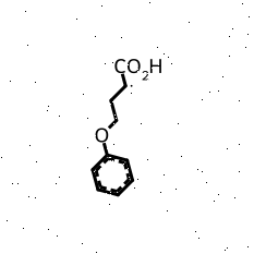 O=C(O)[CH]CCOc1ccccc1